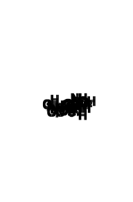 CCC(C)C(NC(=O)C(NC(C)=O)C(C)C)C(=O)N1CCC[C@H]1[C@H](O)[C@@H](O)[C@H](Cc1ccccc1)NC(=O)C(CC(N)=O)NC(=O)C(CC(C)C)NC(=O)C(CO)NC(C)=O